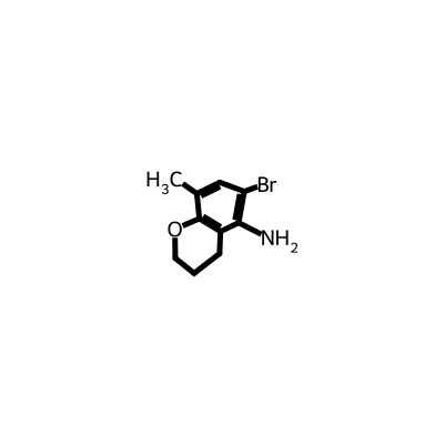 Cc1cc(Br)c(N)c2c1OCCC2